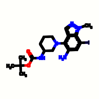 Cn1ncc2c(N3CCCC(NC(=O)OC(C)(C)C)C3)c(N)cc(I)c21